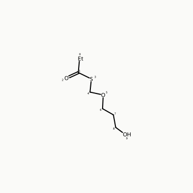 CCC(=O)SCOCCCO